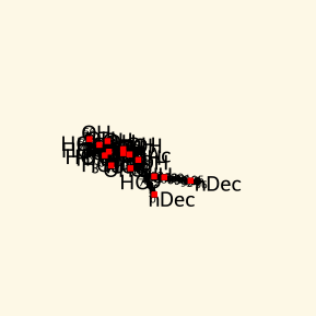 CCCCCCCCCCCCC/C=C/[C@@H](O)[C@H](CO[C@@H]1OC(CO)[C@@H](O[C@@H]2OC(CO)[C@H](O)[C@H](O[C@@H]3OC(CO)[C@@H](O[C@@H]4OC(CO)[C@H](O)[C@H](O[C@]5(C(=O)O)CC(O)[C@@H](O)C([C@H](O)[C@H](O)CO)O5)C4O)[C@H](O[C@H]4OC(C)[C@@H](O)C(O)[C@@H]4O)C3NC(C)=O)C2O)[C@H](O)C1O)NC(=O)CCCCCCCCCCCCCCCCCCCCCCC